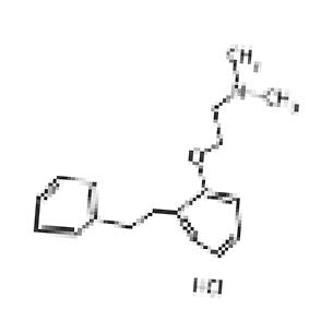 CN(C)CCOc1ccccc1CCc1ccccc1.Cl